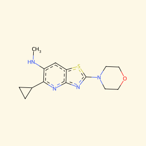 CNc1cc2sc(N3CCOCC3)nc2nc1C1CC1